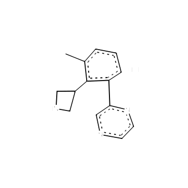 Cc1cccc(-c2cnccn2)c1C1CNC1.Cl